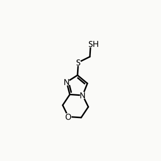 SCSc1cn2c(n1)COCC2